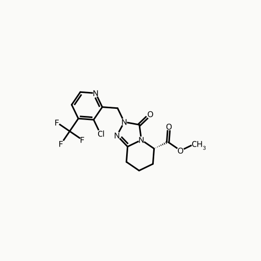 COC(=O)[C@@H]1CCCc2nn(Cc3nccc(C(F)(F)F)c3Cl)c(=O)n21